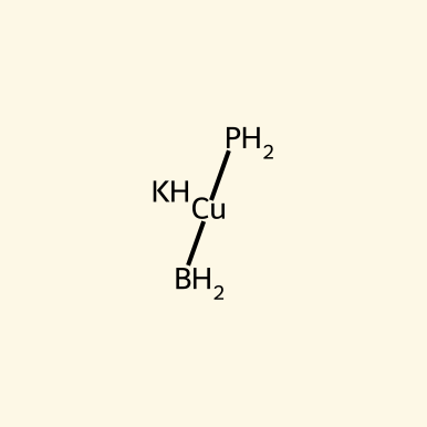 [BH2][Cu][PH2].[KH]